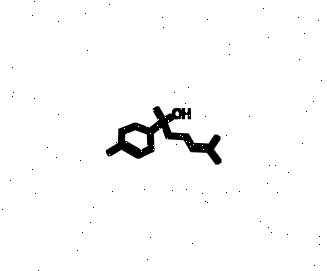 CC(C)=CCCC(C)(O)C1CC=C(C)CC1